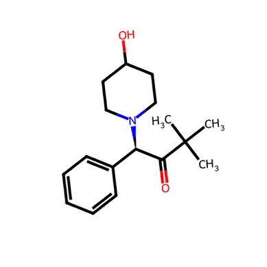 CC(C)(C)C(=O)[C@@H](c1ccccc1)N1CCC(O)CC1